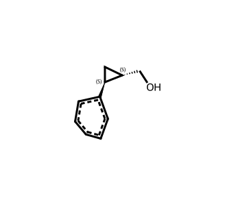 OC[C@H]1C[C@@H]1c1ccccc1